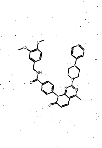 COc1ccc(CNC(=O)c2ccc(-n3c(=O)ccc4c(C)nc(N5CCN(c6ccccc6)CC5)nc43)cc2)cc1OC